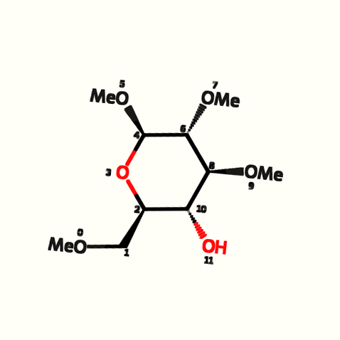 COC[C@H]1O[C@@H](OC)[C@H](OC)[C@@H](OC)[C@@H]1O